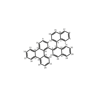 c1ccc2c(-c3c(-c4cccc5c6ccccc6c6ccccc6c45)ccc4ccccc34)cccc2c1